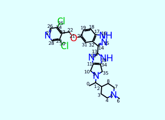 CC(C1CCN(C)CC1)N1Cc2nc(-c3n[nH]c4ccc(OCc5c(Cl)cncc5Cl)cc34)[nH]c2C1